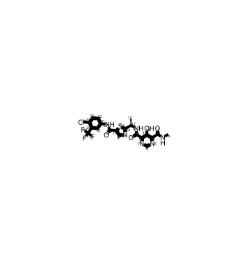 CNC(=O)c1ncnc(C(=O)N[C@H](C)c2ncc(C(=O)Nc3ccc(Cl)c(C(F)(F)F)c3)s2)c1O